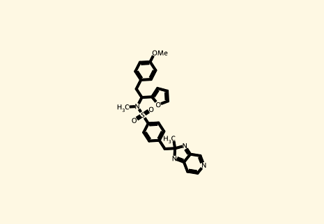 COc1ccc(CC(c2ccco2)N(C)S(=O)(=O)c2ccc(CC3(C)N=c4ccncc4=N3)cc2)cc1